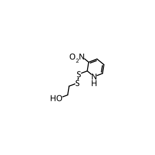 O=[N+]([O-])C1=CC=CNC1SSCCO